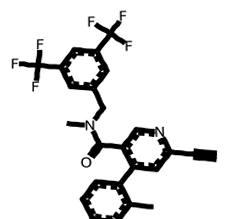 C#Cc1cc(-c2ccccc2C)c(C(=O)N(C)Cc2cc(C(F)(F)F)cc(C(F)(F)F)c2)cn1